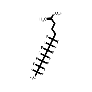 C=C(CCCC(F)(F)C(F)(F)C(F)(F)C(F)(F)C(F)(F)C(F)(F)C(F)(F)C(F)(F)F)C(=O)O